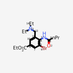 CCCC(=O)Nc1c(Br)cc(C(=O)OCC)cc1CN(CC)CC